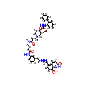 CN(CCCC(=O)Nc1cccc(CCNCCc2ccc(O)c3[nH]c(=O)ccc23)c1)C(=O)CCN1CCC(OC(=O)Nc2ccccc2-c2ccccc2)CC1